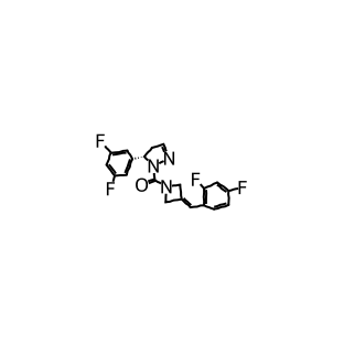 O=C(N1CC(=Cc2ccc(F)cc2F)C1)N1N=CC[C@H]1c1cc(F)cc(F)c1